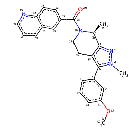 C[C@H]1c2nn(C)c(-c3cccc(OC(F)(F)F)c3)c2CCN1C(=O)c1ccc2ncccc2c1